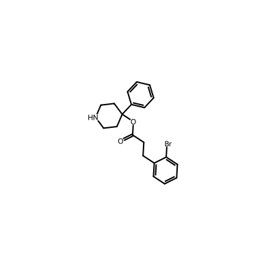 O=C(CCc1ccccc1Br)OC1(c2ccccc2)CCNCC1